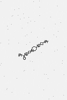 CC(C)C(=O)N1CC2(CC(N3CCC(N4CC5(CC(C(C)C)C5)C4)CC3)C2)C1